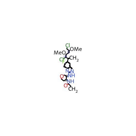 C=CC(=O)N[C@H]1CCOC[C@H]1Nc1ncc2cc(C(=C)/C(Cl)=C(\C=C(/CCl)OC)OC)c(F)cc2n1